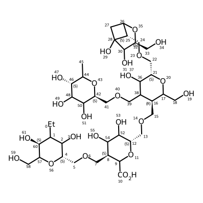 CCC1C(O)[C@H](COC[C@@H]2C(C(=O)O)O[C@@H](COC[C@@H]3C(CO)O[C@@H](COC[C@H]4C5CC4(O)C(O)[C@H](CO)O5)C(O)C3COC[C@@H]3OC(C)[C@@H](O)C(O)C3O)C(O)C2O)OC(CO)[C@H]1O